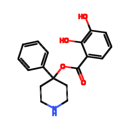 O=C(OC1(c2ccccc2)CCNCC1)c1cccc(O)c1O